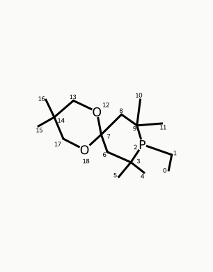 CCP1C(C)(C)CC2(CC1(C)C)OCC(C)(C)CO2